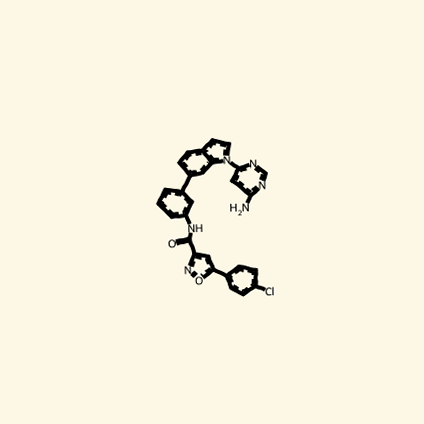 Nc1cc(-n2ccc3ccc(-c4cccc(NC(=O)c5cc(-c6ccc(Cl)cc6)on5)c4)cc32)ncn1